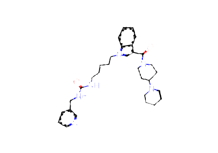 O=C(NCCCCCn1cc(C(=O)N2CCC(N3CCCCC3)CC2)c2ccccc21)NCc1cccnc1